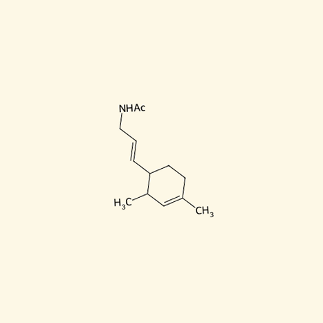 CC(=O)NC/C=C/C1CCC(C)=CC1C